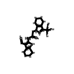 O=Cc1c(NC(=O)Cn2nc(C(F)(F)F)c3c2CCCC3)sc2c1CCCC2